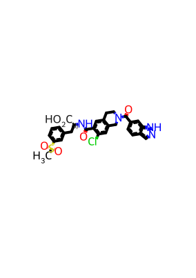 CS(=O)(=O)c1cccc(C[C@H](NC(=O)c2cc3c(cc2Cl)CN(C(=O)c2ccc4cn[nH]c4c2)CC3)C(=O)O)c1